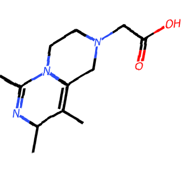 CC1=NC(C)C(C)=C2CN(CC(=O)O)CCN12